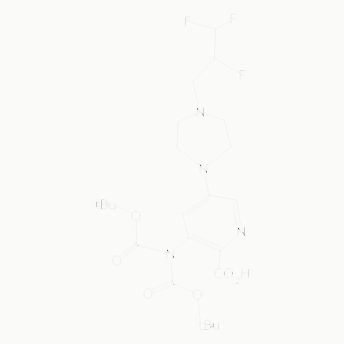 CC(C)(C)OC(=O)N(C(=O)OC(C)(C)C)c1cc(N2CCN(CC(F)C(F)F)CC2)cnc1C(=O)O